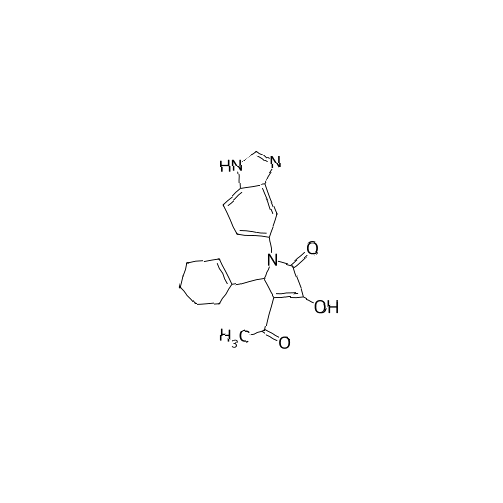 CC(=O)C1=C(O)C(=O)N(c2ccc3[nH]cnc3c2)C1C1=CCCCC1